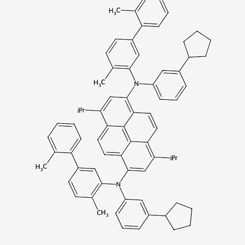 Cc1ccccc1-c1ccc(C)c(N(c2cccc(C3CCCC3)c2)c2cc(C(C)C)c3ccc4c(N(c5cccc(C6CCCC6)c5)c5cc(-c6ccccc6C)ccc5C)cc(C(C)C)c5ccc2c3c54)c1